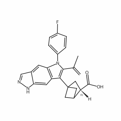 C=C(C)c1c(C23CC(C2)[C@@H](C(=O)O)C3)c2cc3[nH]ncc3cc2n1-c1ccc(F)cc1